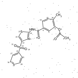 CC(=O)Oc1cc(C(=O)Nc2nc(S(=O)(=O)c3ccccc3)cs2)ccc1C